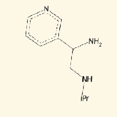 CC(C)NCC(N)c1cccnc1